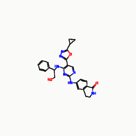 O=C1NCCc2cc(Nc3ncc(-c4nnc(C5CC5)o4)c(NC(CO)c4ccccc4)n3)ccc21